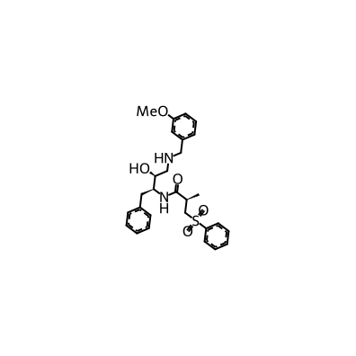 COc1cccc(CNC[C@H](O)[C@H](Cc2ccccc2)NC(=O)[C@@H](C)CS(=O)(=O)c2ccccc2)c1